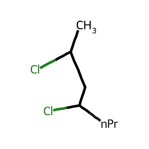 CCCC(Cl)CC(C)Cl